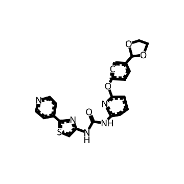 O=C(Nc1cccc(Oc2ccc(C3OCCO3)cc2)n1)Nc1csc(-c2ccncc2)n1